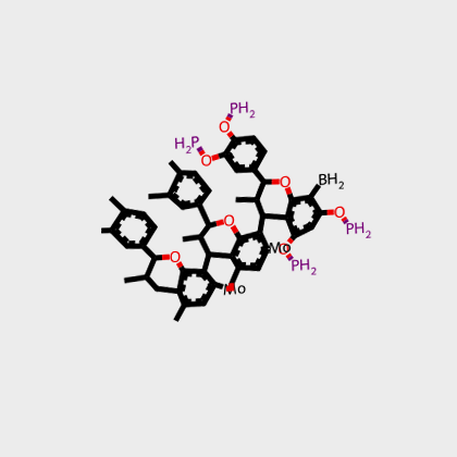 Bc1c(OP)cc(OP)c2c1OC(c1ccc(OP)c(OP)c1)C(C)C2c1[c]([Mo])cc(C)c2c1OC(c1ccc(C)c(C)c1)C(C)C2c1[c]([Mo])cc(C)c2c1OC(c1ccc(C)c(C)c1)C(C)C2